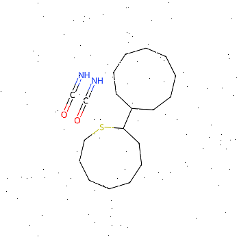 C1CCCCC(C2CCCCCCCS2)CCC1.N=C=O.N=C=O